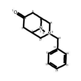 CN1C2CC(=O)CC1CN(Cc1ccccc1)C2